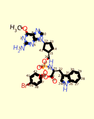 COc1nc(N)nc2c1ncn2[C@H]1C=C[C@@H](COP(=O)(N[C@@H](Cc2c[nH]c3ccccc23)C(=O)O)Oc2ccc(Br)cc2)C1